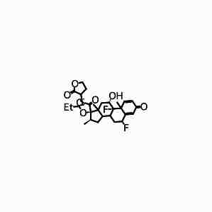 CCC(=O)O[C@]1(C(=O)SC2CCOC2=O)[C@H](C)CC2C3C[C@H](F)C4=CC(=O)C=CC4(C)[C@@]3(F)[C@@H](O)CC21C